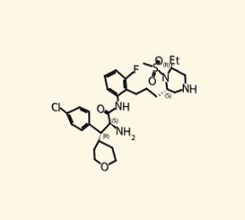 CC[C@@H]1CNC[C@H](CCCc2c(F)cccc2NC(=O)[C@@H](N)[C@@H](c2ccc(Cl)cc2)C2CCOCC2)N1S(C)(=O)=O